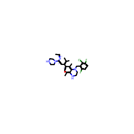 C/C=N\C(=C/C(=C(C)C)C(=C/C)/C(C)=C1\C(=C(C)C)NCCN1Cc1c(F)ccc(F)c1Cl)N1CCNCC1